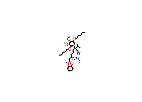 CCCCCOc1cc(C(C#N)(CCCC(N)CC2Oc3ccccc3O2)C(C)C)c(OCCCCC)c(OC)c1OC